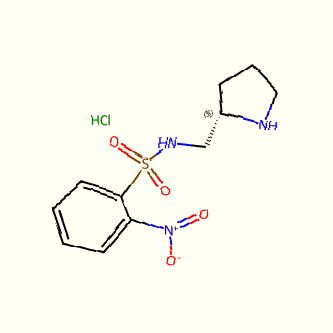 Cl.O=[N+]([O-])c1ccccc1S(=O)(=O)NC[C@@H]1CCCN1